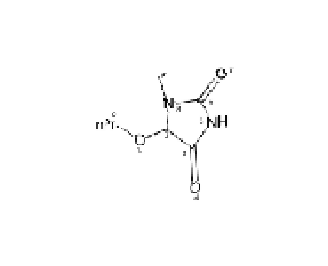 CCCOC1C(=O)NC(=O)N1C